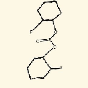 O=S(OC1CCCCC1F)OC1CCCCC1F